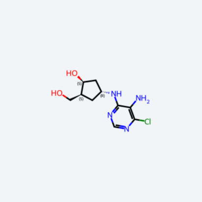 Nc1c(Cl)ncnc1N[C@@H]1C[C@@H](CO)[C@@H](O)C1